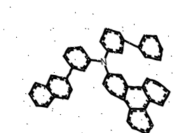 c1ccc(-c2cccc(N(c3cccc(-c4ccc5ccccc5c4)c3)c3ccc4c5ccccc5c5ccccc5c4c3)c2)cc1